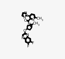 Cc1ccc(-n2nccn2)c(C(=O)N2C(C)C3CC(Oc4cnc5cc(F)c(F)cc5n4)C2C3)n1